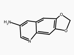 Nc1cnc2cc3c(cc2c1)OCO3